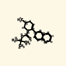 C[C@H]1CC=C(c2ccc3ncccc3c2)N(C(=O)OC(C)(C)C)C1